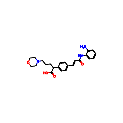 Nc1ccccc1NC(=O)C=Cc1ccc(C(CCCN2CCOCC2)C(=O)O)cc1